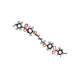 Cc1ccc(C(=O)Oc2ccc(OCCCCCCOc3ccc(OC(=O)c4ccc(C)cc4)cc3)cc2)cc1